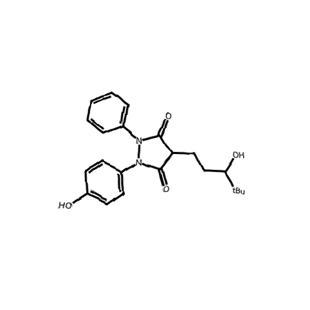 CC(C)(C)C(O)CCC1C(=O)N(c2ccccc2)N(c2ccc(O)cc2)C1=O